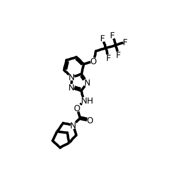 O=C(ONc1nc2c(OCC(F)(F)C(F)(F)F)cccn2n1)N1CC2CCC(C2)C1